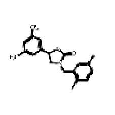 Cc1ccc(I)c(CN2CC(c3cc(C(F)(F)F)cc(C(F)(F)F)c3)OC2=O)c1